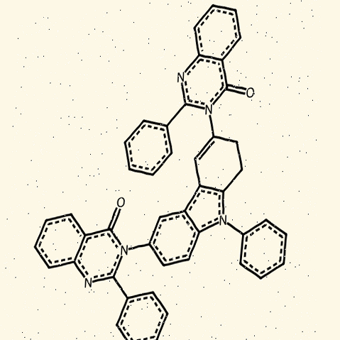 O=c1c2ccccc2nc(-c2ccccc2)n1C1=Cc2c(n(-c3ccccc3)c3ccc(-n4c(-c5ccccc5)nc5ccccc5c4=O)cc23)CC1